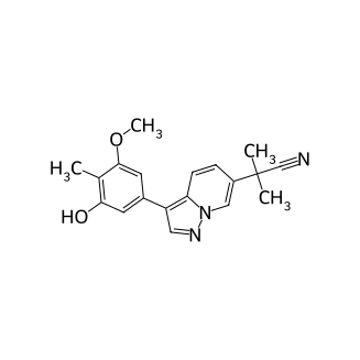 COc1cc(-c2cnn3cc(C(C)(C)C#N)ccc23)cc(O)c1C